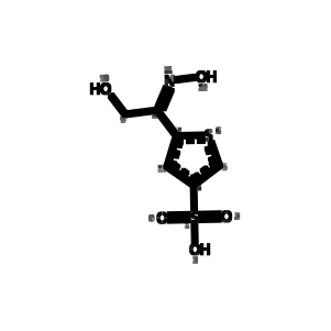 O=S(=O)(O)c1csc(/C(CO)=N\O)c1